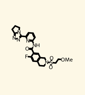 COCCS(=O)(=O)N1CCc2cc(F)c(C(=O)Nc3cccc(-c4nnc5n4CCC5)n3)cc2C1